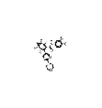 O=C(Nc1ccc(Cl)c(Cl)c1)[C@H]1[C@@H]2O[C@@H]([C@H]3C[C@H]32)[C@@H]1c1cnc(N2CCOCC2)nc1